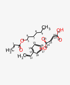 C=CC(=O)OCCCCCC.C=Cc1ccccc1.O=C(O)C=CC(=O)O